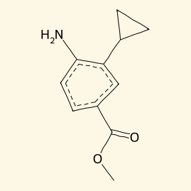 COC(=O)c1ccc(N)c(C2CC2)c1